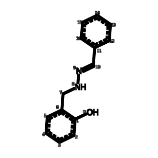 Oc1ccccc1CNN=Cc1ccccc1